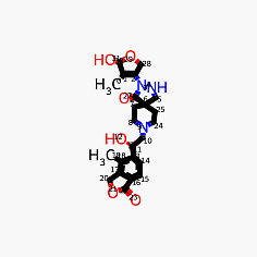 CC1=C(N2NCC3(CCN(C[C@H](O)c4ccc5c(c4C)COC5=O)CC3)C2=O)COC1O